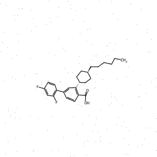 CCCCCC[C@H]1CC[C@H](c2cc(-c3ccc(F)cc3F)ccc2C(=O)O)CC1